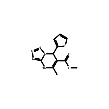 COC(=O)C1=C(C)Nc2nnnn2C1c1cccs1